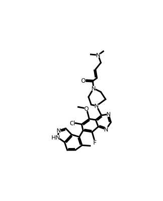 COc1c(Cl)c(-c2c(C)ccc3[nH]ncc23)c(F)c2ncnc(N3CCN(C(=O)/C=C/CN(C)C)CC3)c12